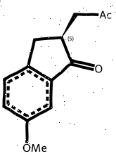 COc1ccc2c(c1)C(=O)[C@H](CC(C)=O)C2